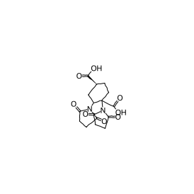 O=C(O)[C@H]1CCC(C(=O)O)(N2C(=O)CCC2=O)C(N2C(=O)CCC2=O)C1